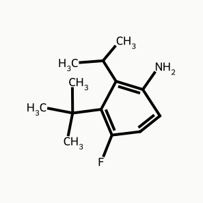 CC(C)c1c(N)ccc(F)c1C(C)(C)C